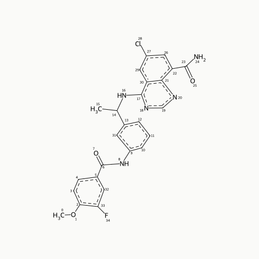 COc1ccc(C(=O)Nc2cccc(C(C)Nc3ncnc4c(C(N)=O)cc(Cl)cc34)c2)cc1F